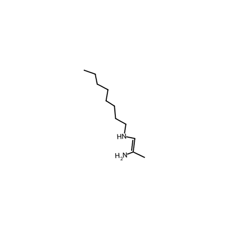 CCCCCCCCNC=C(C)N